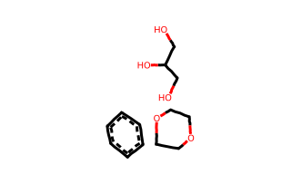 C1COCCO1.OCC(O)CO.c1ccccc1